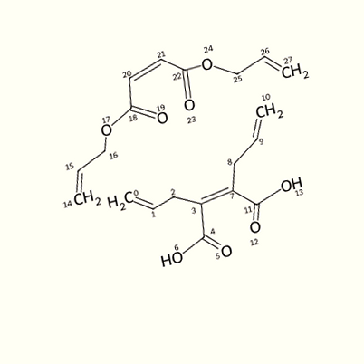 C=CC/C(C(=O)O)=C(\CC=C)C(=O)O.C=CCOC(=O)/C=C\C(=O)OCC=C